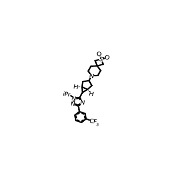 CC(C)n1nc(-c2cccc(C(F)(F)F)c2)nc1C1[C@H]2CC(N3CCC4(CC3)CS(=O)(=O)C4)C[C@@H]12